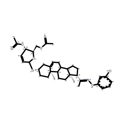 CC(=O)OC[C@H]1OC(O[C@H]2CC[C@@]3(C)C(=CCC4C3CC[C@@]3(C)C4CC[C@@H]3/C(C)=N/Oc3cccc(Cl)c3)C2)C=C[C@@H]1OC(C)=O